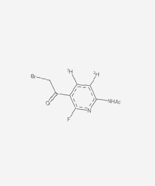 [2H]c1c(NC(C)=O)nc(F)c(C(=O)CBr)c1[2H]